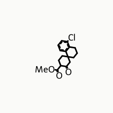 COC(=O)C1CCC2(CCCc3c(Cl)cccc32)CC1=O